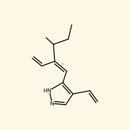 C=C/C(=C\c1[nH]ncc1C=C)C(C)CC